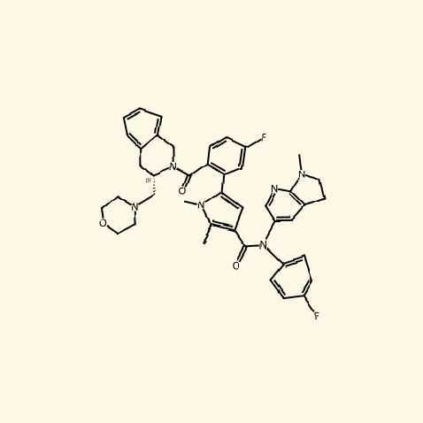 Cc1c(C(=O)N(c2ccc(F)cc2)c2cnc3c(c2)CCN3C)cc(-c2cc(F)ccc2C(=O)N2Cc3ccccc3C[C@H]2CN2CCOCC2)n1C